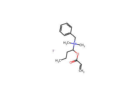 C=CC(=O)OC(CCC)[N+](C)(C)Cc1ccccc1.[I-]